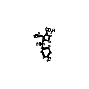 CC(C)(C)C1C(Nc2ccc(Cl)cc2)CCN1C(=O)O